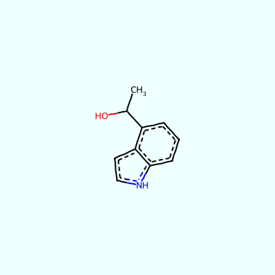 CC(O)c1cccc2[nH]ccc12